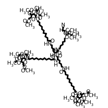 CC(=O)NC1C(OCCCCCCCCCCCC(=O)NCCCCC(NC(=O)CCCCCCCCCCCOC2OC(COC(C)=O)C(OC(C)=O)C(OC(C)=O)C2NC(C)=O)C(=O)NC(CCCCNC(=O)CCCCCCCCCCCOC2OC(COC(C)=O)C(OC(C)=O)C(OC(C)=O)C2NC(C)=O)C(=O)NCCCCCCOP(OCCC#N)N(C(C)C)C(C)C)OC(COC(C)=O)C(OC(C)=O)C1OC(C)=O